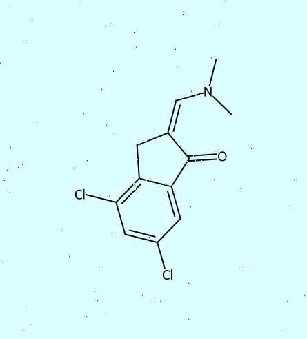 CN(C)C=C1Cc2c(Cl)cc(Cl)cc2C1=O